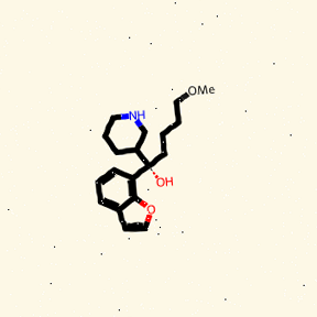 COCCCC[C@@](O)(c1cccc2ccoc12)C1CCCNC1